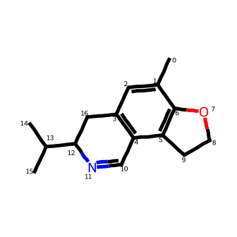 Cc1cc2c(c3c1OCC3)C=NC(C(C)C)C2